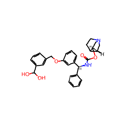 O=C(N[C@@H](c1ccccc1)c1cccc(OCc2cccc(C(O)O)c2)c1)O[C@H]1CN2CCC1CC2